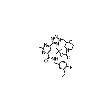 CCc1cc(CNC(=O)c2cc(-c3nnn(CC4CN(C(=O)OC(C)(C)C)CCO4)n3)nc(C)n2)ccc1F